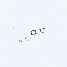 COc1cc(N2CCN(CC3CC3)CC2)ccc1Nc1ccnc(Cl)n1